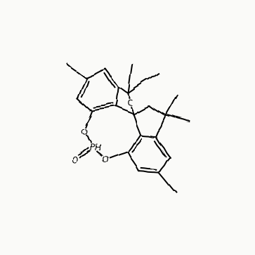 Cc1cc2c3c(c1)C(C)(C)CC31CC(C)(C)c3cc(C)cc(c31)O[PH](=O)O2